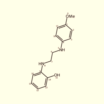 COc1ccc(NCCNc2ccccc2O)cc1